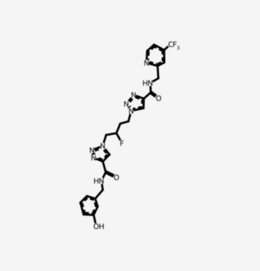 O=C(NCc1cc(C(F)(F)F)ccn1)c1cn(CCC(F)Cn2cc(C(=O)NCc3cccc(O)c3)nn2)nn1